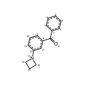 O=C(c1ccccc1)c1cccc(N2CCC2)c1